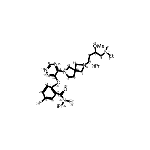 CCN(C)C[C@@H](C[C@H](C(C)C)N1CC2(CCN(c3ncnnc3Oc3ccc(F)cc3C(=O)N(CC)C(C)C)C2)C1)OC